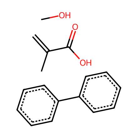 C=C(C)C(=O)O.CO.c1ccc(-c2ccccc2)cc1